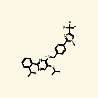 CC(C)Oc1cnc(-c2ccccc2C(C)C)nc1NCc1ccc(-c2nc(C(F)(F)F)cn2C)cc1